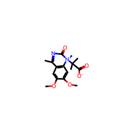 COc1cc2c(cc1OC)[N+](C)(C(C)(C)C(=O)[O-])C(=O)N=C2C